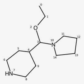 CCOC(C1CCNCC1)N1CCCC1